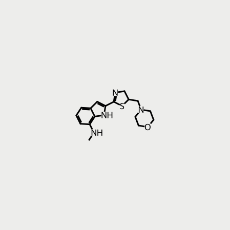 CNc1cccc2cc(C3=NCC(CN4CCOCC4)S3)[nH]c12